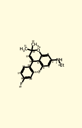 CCNc1cc(F)c2c(c1)OC(C)(C)C=C2c1ccc(F)cc1